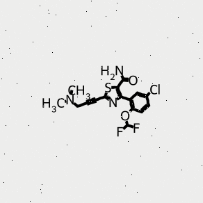 CN(C)CC#Cc1nc(-c2cc(Cl)ccc2OC(F)F)c(C(N)=O)s1